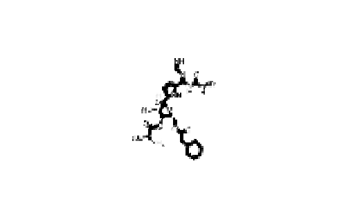 CC(C)NC(=O)N/C(=N/C=N)c1ccc([C@]2(C)O[C@H](COC(=O)CC3CCCCC3)[C@@H](OC(=O)[C@@H](N)C(C)(C)C)[C@H]2O)[nH]1